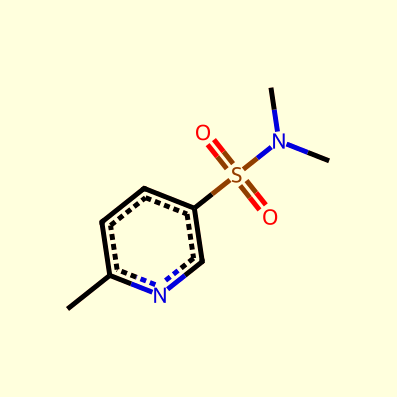 Cc1ccc(S(=O)(=O)N(C)C)cn1